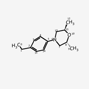 CCc1ccc(N2C[C@@H](C)O[C@H](C)C2)cc1